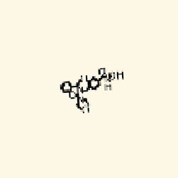 O=C(NO)c1ccc2c(c1)OCC(c1ccccc1)N(C(=O)N1CCOCC1)C2